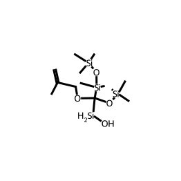 C=C(C)COC(O[Si](C)(C)C)([SiH2]O)[Si](C)(C)O[Si](C)(C)C